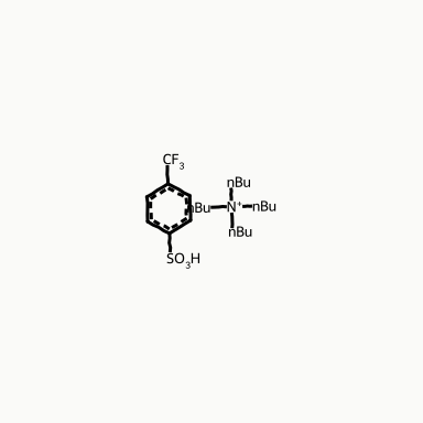 CCCC[N+](CCCC)(CCCC)CCCC.O=S(=O)(O)c1ccc(C(F)(F)F)cc1